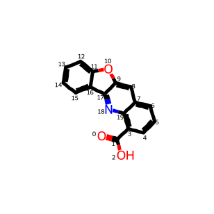 O=C(O)c1cccc2cc3oc4ccccc4c3nc12